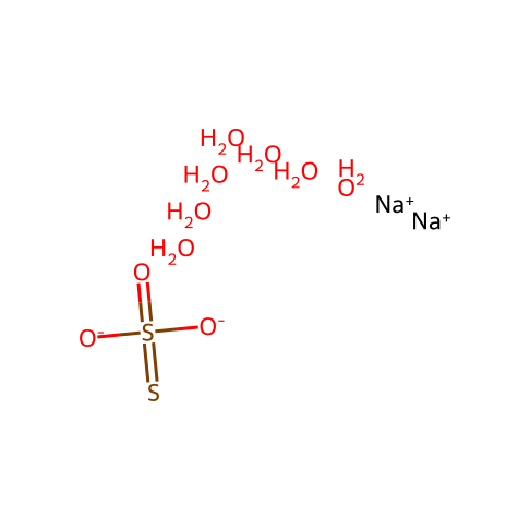 O.O.O.O.O.O.O.O=S([O-])([O-])=S.[Na+].[Na+]